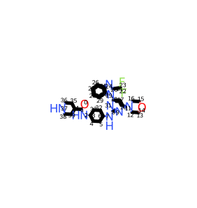 O=C(N[C@H]1CC[C@H](Nc2nc(N3CCOCC3)cc(-n3c(C(F)F)nc4ccccc43)n2)CC1)C1CCNCC1